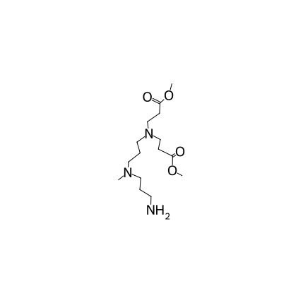 COC(=O)CCN(CCCN(C)CCCN)CCC(=O)OC